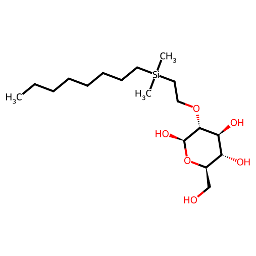 CCCCCCCC[Si](C)(C)CCO[C@@H]1[C@@H](O)[C@H](O)[C@@H](CO)O[C@H]1O